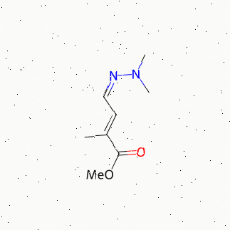 COC(=O)/C(C)=C/C=N\N(C)C